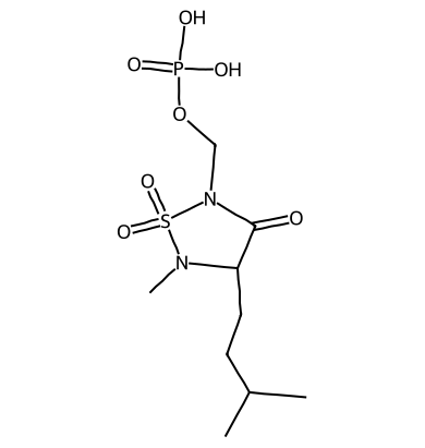 CC(C)CCC1C(=O)N(COP(=O)(O)O)S(=O)(=O)N1C